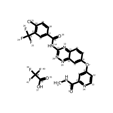 CNC(=O)c1cc(Oc2ccc3nc(NC(=O)c4ccc(Cl)c(C(F)(F)F)c4)nnc3c2)ccn1.O=C(O)C(F)(F)F